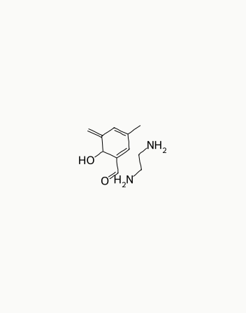 C=C1C=C(C)C=C(C=O)C1O.NCCN